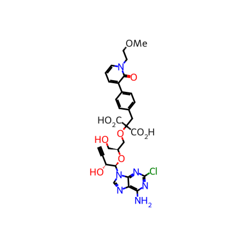 C#C[C@@H](O)[C@@H](O[C@@H](CO)COC(Cc1ccc(-c2cccn(CCOC)c2=O)cc1)(C(=O)O)C(=O)O)n1cnc2c(N)nc(Cl)nc21